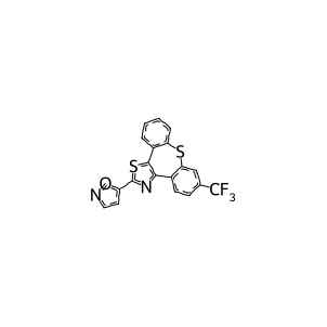 FC(F)(F)c1ccc2c(c1)Sc1ccccc1-c1sc(-c3ccno3)nc1-2